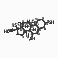 C#CC1(S)CC[C@H]2[C@@H]3C(S)C=C4CC(S)CC[C@]4(C)[C@@H]3CC[C@@]21C